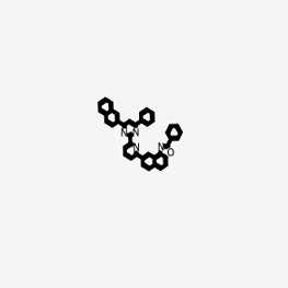 c1ccc(-c2cc(-c3ccc4ccccc4c3)nc(-c3cccc(-c4ccc5ccc6oc(-c7ccccc7)nc6c5c4)n3)n2)cc1